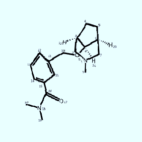 CN1C[C@H]2CC[C@@H](C1)[C@H]2OCc1cccc(C(=O)N(C)C)c1